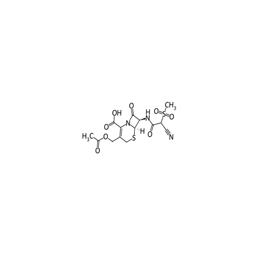 CC(=O)OCC1=C(C(=O)O)N2C(=O)[C@@H](NC(=O)C(C#N)S(C)(=O)=O)[C@H]2SC1